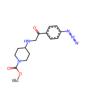 CC(C)(C)OC(=O)N1CCC(NCC(=O)c2ccc(N=[N+]=[N-])cc2)CC1